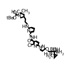 BC(B)(COc1ccn(-c2ccc(C(=O)NSc3cccc(NCCCC4CN(C(=O)OC(C)(C)C)C(C)(C)C4)n3)c(Cl)n2)n1)C(B)(O)C1(C(F)(F)F)CC1